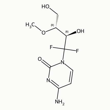 CO[C@H](CO)[C@@H](O)C(F)(F)n1ccc(N)nc1=O